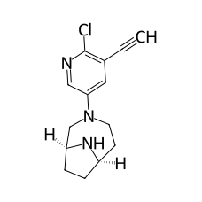 C#Cc1cc(N2CC[C@H]3CC[C@@H](C2)N3)cnc1Cl